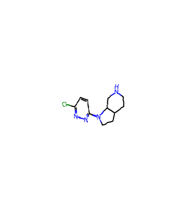 Clc1ccc(N2CCC3CCNCC32)nn1